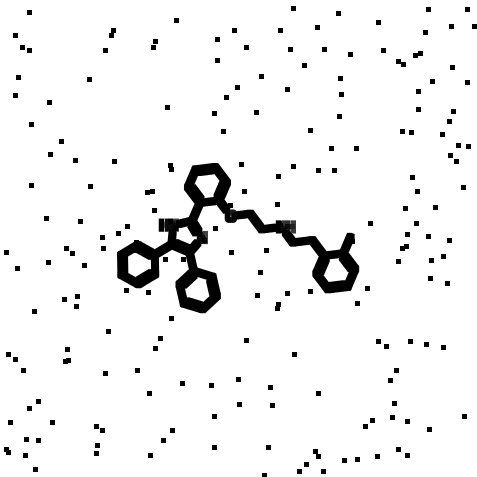 Cc1ccccc1CCNCCOc1ccccc1-c1nc(-c2ccccc2)c(-c2ccccc2)[nH]1